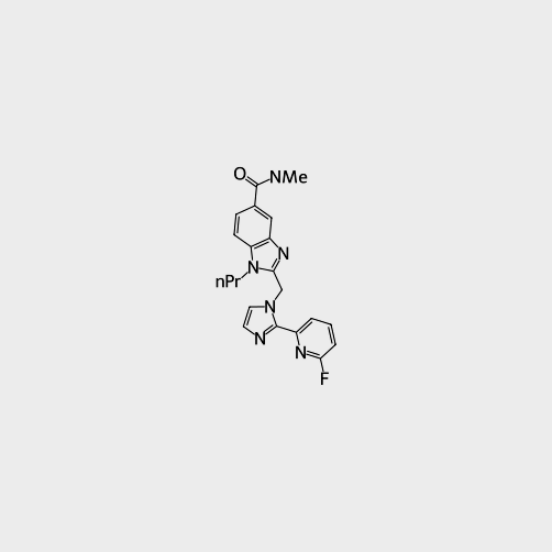 CCCn1c(Cn2ccnc2-c2cccc(F)n2)nc2cc(C(=O)NC)ccc21